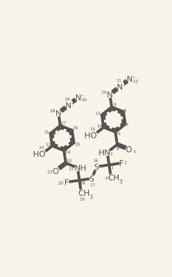 CC(F)(NC(=O)c1ccc(N=[N+]=[N-])cc1O)SSC(C)(F)NC(=O)c1ccc(N=[N+]=[N-])cc1O